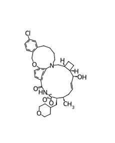 C[C@@H]1C/C=C/[C@H](O)[C@H]2CC[C@H]2CN2CCCCc3cc(Cl)ccc3COc3ccc(cc32)C(=O)NS(=O)(=O)[C@@H]1CC1CCOCC1